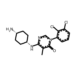 Cc1c(N[C@H]2CC[C@@H](N)CC2)ncn(-c2cccc(Cl)c2Cl)c1=O